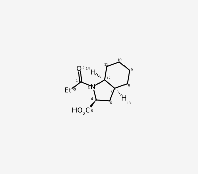 CCC(=O)N1[C@H](C(=O)O)C[C@@H]2CCCC[C@@H]21